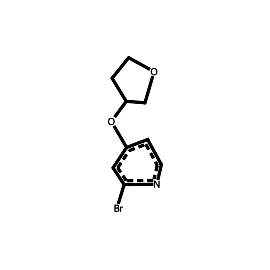 Brc1cc(OC2CCOC2)ccn1